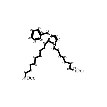 CCCCCCCCCCCCCCCCCCCC1N(CCCCCCCCCCCCCCCCC)C=CN1Cc1ccccc1